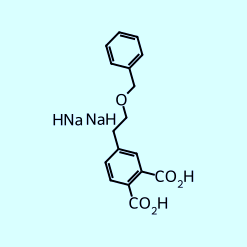 O=C(O)c1ccc(CCOCc2ccccc2)cc1C(=O)O.[NaH].[NaH]